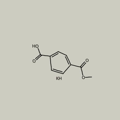 COC(=O)c1ccc(C(=O)O)cc1.[KH]